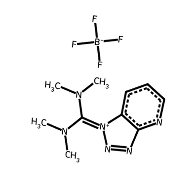 CN(C)C(N(C)C)=[N+]1N=Nc2ncccc21.F[B-](F)(F)F